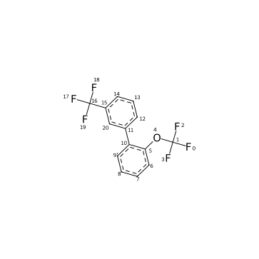 FC(F)(F)Oc1ccc[c]c1-c1cccc(C(F)(F)F)c1